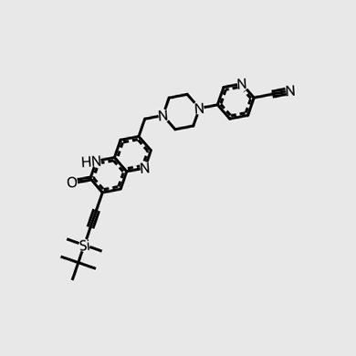 CC(C)(C)[Si](C)(C)C#Cc1cc2ncc(CN3CCN(c4ccc(C#N)nc4)CC3)cc2[nH]c1=O